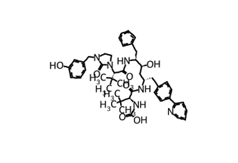 CC(C)(C)[C@H](NC(=O)O)C(=O)N[C@@H](Cc1ccc(-c2ccccn2)cc1)C[C@H](O)[C@H](Cc1ccccc1)NC(=O)[C@@H](N1CCN(Cc2cccc(O)c2)C1=O)C(C)(C)C